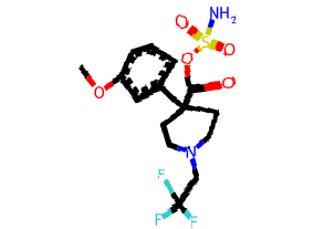 COc1cccc(C2(C(=O)OS(N)(=O)=O)CCN(CC(F)(F)F)CC2)c1